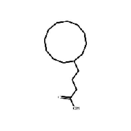 O=C(O)CCCC1CCCCCCCCCCC1